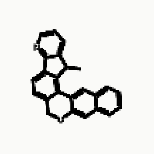 CC1c2cccnc2-c2ccc3c(c21)-c1cc2ccccc2cc1OC3